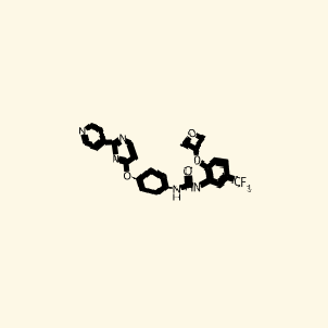 O=C(Nc1cc(C(F)(F)F)ccc1OC1COC1)N[C@H]1CC[C@@H](Oc2ccnc(-c3ccncc3)n2)CC1